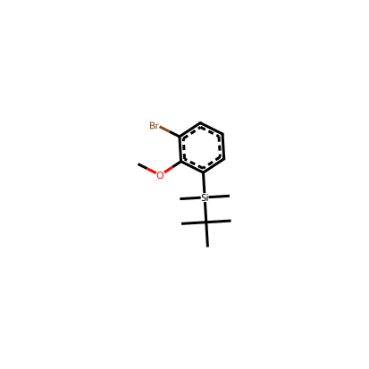 COc1c(Br)cccc1[Si](C)(C)C(C)(C)C